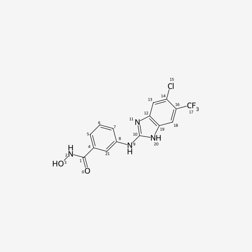 O=C(NO)c1cccc(Nc2nc3cc(Cl)c(C(F)(F)F)cc3[nH]2)c1